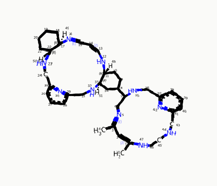 C/C1=C/C(C)=N/CC(C2CC[C@H]3N/C=C\C=N\[C@@H]4CCCC[C@H]4NCc4cccc(n4)CN[C@@H]3C2)NCc2cccc(n2)CNCCN1